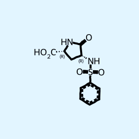 O=C(O)[C@H]1C[C@@H](NS(=O)(=O)c2ccccc2)C(=O)N1